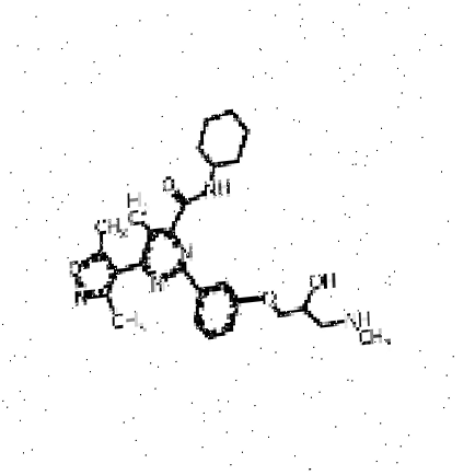 CNCC(O)COc1cccc(-c2nc(C(=O)NC3CCCCC3)c(C)c(-c3c(C)noc3C)n2)c1